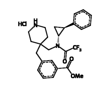 COC(=O)c1cccc(CC2(CN(C(=O)C(F)(F)F)[C@@H]3C[C@H]3c3ccccc3)CCNCC2)c1.Cl